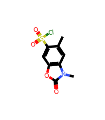 Cc1cc2c(cc1S(=O)(=O)Cl)oc(=O)n2C